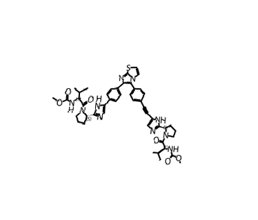 COC(=O)N[C@H](C(=O)N1CCC[C@@H]1c1ncc(C#Cc2ccc(-c3c(-c4ccc(-c5cnc([C@@H]6CCCN6C(=O)[C@@H](NC(=O)OC)C(C)C)[nH]5)cc4)nc4sccn34)cc2)[nH]1)C(C)C